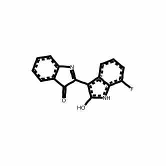 O=C1C(c2c(O)[nH]c3c(F)cccc23)=Nc2ccccc21